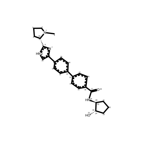 CN1CCC[C@H]1c1nc(-c2ccc(-c3ccc(C(=O)N[C@H]4CCC[C@@H]4O)cc3)cc2)c[nH]1